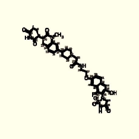 CN1C(=O)[C@H]([C@@H]2CCC(=O)NC2=O)Cc2ccc(C3CCN(CC(=O)NCCOc4ccc5cc(O)c(N6CC(=O)NS6(=O)=O)c(F)c5c4)CC3)cc21